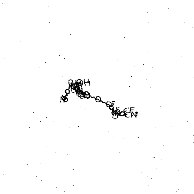 Cc1ncsc1-c1ccc(CNC(=O)[C@@H]2C[C@@H](O)CN2C(=O)[C@@H](NC(=O)COCCCCOCCCCCOc2ccc(N3C(=S)N(c4ccc(C#N)c(C(F)(F)F)c4)C(=O)C3(C)C)cc2F)C(C)(C)C)cc1